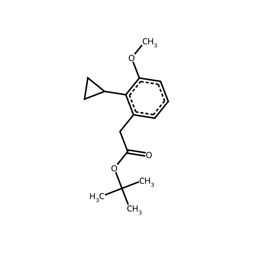 COc1cccc(CC(=O)OC(C)(C)C)c1C1CC1